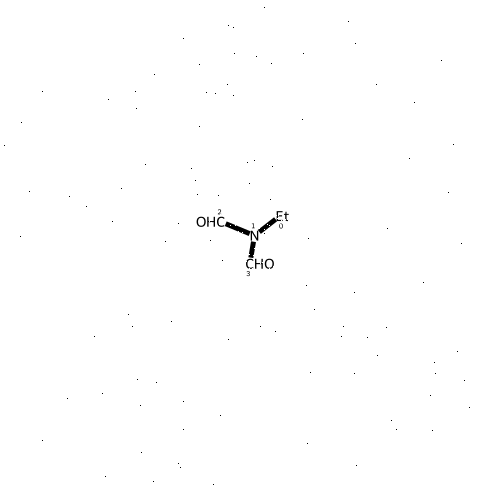 [CH2]CN(C=O)C=O